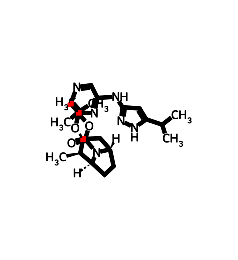 CC(C)c1cc(Nc2cncc(O[C@@H]3C[C@H]4CC[C@@H]([C@H]3C)N4C(=O)OC(C)(C)C)n2)n[nH]1